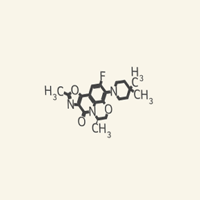 Cc1nc2c(=O)n3c4c(c(N5CCC(C)(C)CC5)c(F)cc4c2o1)OC[C@@H]3C